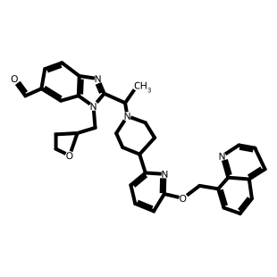 CC(c1nc2ccc(C=O)cc2n1CC1CCO1)N1CCC(c2cccc(OCc3cccc4cccnc34)n2)CC1